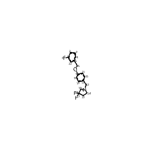 Fc1cccc(COc2ccc(CN3CCC(F)(F)C3)cc2)c1